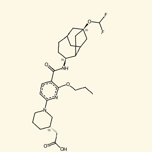 CCCOc1nc(N2CCC[C@@H](CC(=O)O)C2)ccc1C(=O)N[C@H]1CCC2CC3C[C@@](OC(F)F)(C2)CC31